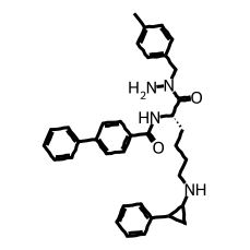 Cc1ccc(CN(N)C(=O)[C@H](CCCCNC2CC2c2ccccc2)NC(=O)c2ccc(-c3ccccc3)cc2)cc1